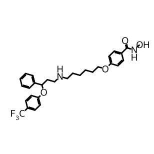 O=C(NO)c1ccc(OCCCCCCNCCC(Oc2ccc(C(F)(F)F)cc2)c2ccccc2)cc1